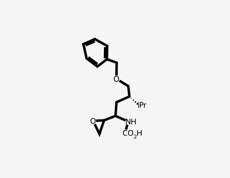 CC(C)[C@@H](COCc1ccccc1)CC(NC(=O)O)C1CO1